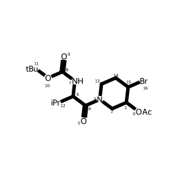 CC(=O)OC1CN(C(=O)C(NC(=O)OC(C)(C)C)C(C)C)CCC1Br